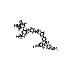 Cn1cc(-c2cc(C(C)(C)O)ccc2Oc2ccc(N3CC(CC4CCN(c5ccc(C(=O)c6c(-c7ccc(O)cc7)sc7cc(O)ccc67)cc5)CC4)C3)cc2)c2cc[nH]c2c1=O